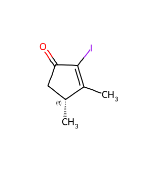 CC1=C(I)C(=O)C[C@H]1C